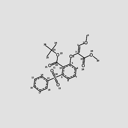 CO/C=C(/Oc1cccc(S(=O)(=O)c2ccccc2)c1C(=O)OC(C)(C)C)C(=O)OC